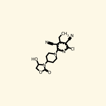 CCc1c(C#N)c(Cl)nc(N2CCC(N3C(=O)OCC3O)CC2)c1C#N